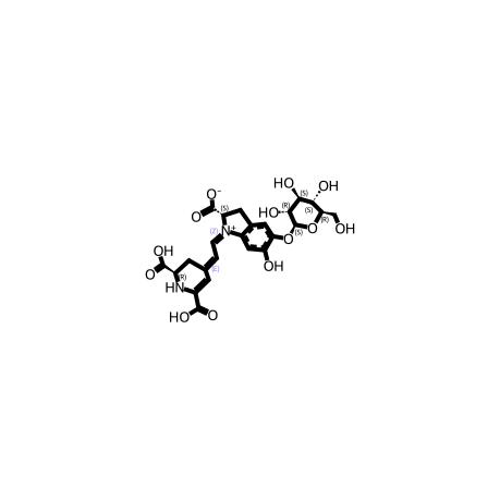 O=C(O)C1=C/C(=C/C=[N+]2\c3cc(O)c(O[C@@H]4O[C@H](CO)[C@@H](O)[C@H](O)[C@H]4O)cc3C[C@H]2C(=O)[O-])C[C@H](C(=O)O)N1